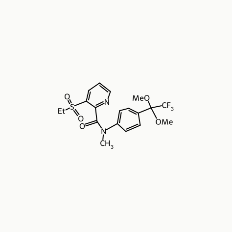 CCS(=O)(=O)c1cccnc1C(=O)N(C)c1ccc(C(OC)(OC)C(F)(F)F)cc1